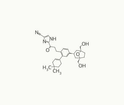 CC1(C)CC=C(c2cc([C@H]3C[C@]4(CO)CC[C@](CO)(C3)O4)ccc2CCC(=O)c2nc(C#N)c[nH]2)CC1